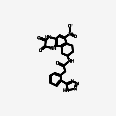 O=C(Cc1ccccc1-c1nnn[nH]1)NC1CCc2c([N+](=O)[O-])cc3[nH]c(=O)c(=O)[nH]c3c2C1